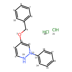 C1=CC(OCc2ccccc2)=CN(c2ccccc2)N1.Cl.Cl